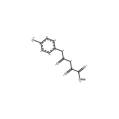 COC(=O)C(=O)CC(=O)Cc1ccc(Cl)cc1